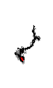 C=NC[C@]1(c2ccc(Cl)cc2F)[C@H](CC(C)(C)C)N[C@@H](C(=O)Nc2ccc(C(=O)NCCCCCCN(C)C(=O)[C@H]3CC[C@H](n4cc(NC(=O)c5coc(-c6ccnc(NCC7CC7)c6)n5)c(C(F)F)n4)CC3)cc2OC)[C@@H]1c1cccc(Cl)c1F